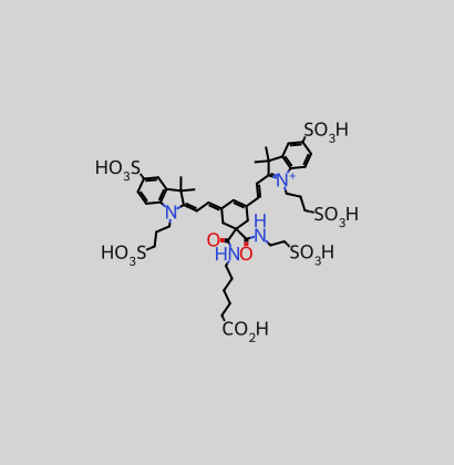 CC1(C)C(/C=C/C2=CC(=C/C=C3/N(CCCS(=O)(=O)O)c4ccc(S(=O)(=O)O)cc4C3(C)C)/CC(C(=O)NCCCCCC(=O)O)(C(=O)NCCS(=O)(=O)O)C2)=[N+](CCCS(=O)(=O)O)c2ccc(S(=O)(=O)O)cc21